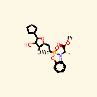 COC1C(CCP(=O)(N[C@@H](C)C(=O)OC(C)C)Oc2ccccc2)OC(C2CCCC2)C1O